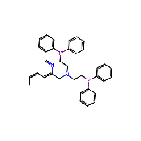 C=N/C(=C\C=C/C)CN(CCP(c1ccccc1)c1ccccc1)CCP(c1ccccc1)c1ccccc1